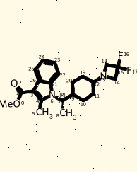 COC(=O)c1c(C)n([C@H](C)C2CCC(N3CC(F)(F)C3)CC2)c2ccccc12